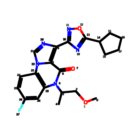 COCC(C)n1c(=O)c2c(-c3noc(C4CCCC4)n3)ncn2c2ccc(F)cc21